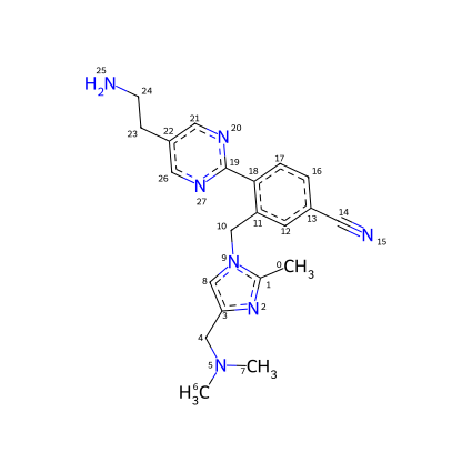 Cc1nc(CN(C)C)cn1Cc1cc(C#N)ccc1-c1ncc(CCN)cn1